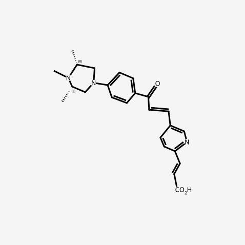 C[C@@H]1CN(c2ccc(C(=O)C=Cc3ccc(C=CC(=O)O)nc3)cc2)C[C@H](C)N1C